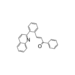 O=C(C=Cc1ccccc1-c1ccc2ccccc2n1)c1ccccc1